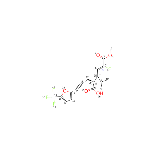 COC(=O)/C(F)=C/[C@H]1C(C)(C)[C@]1(CC#Cc1ccc(C(F)(F)F)o1)C(=O)O